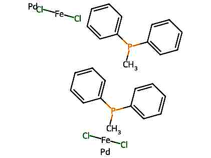 CP(c1ccccc1)c1ccccc1.CP(c1ccccc1)c1ccccc1.[Cl][Fe][Cl].[Cl][Fe][Cl].[Pd].[Pd]